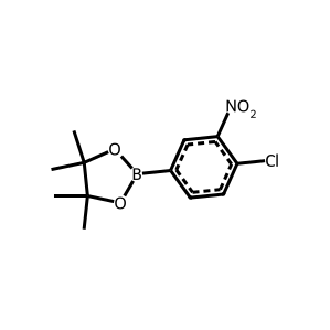 CC1(C)OB(c2ccc(Cl)c([N+](=O)[O-])c2)OC1(C)C